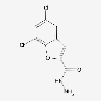 NNC(=O)c1cc2cc(Cl)cc(Cl)c2o1